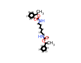 CC(OC(=O)NCCCCCCNC(=O)OC(C)c1ccccc1)c1ccccc1